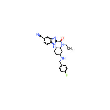 CCN(C(=O)c1nc2cc(C#N)ccc2[nH]1)C1CCCC(NCc2ccc(F)cc2)C1